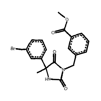 COC(=O)c1cccc(CN2C(=O)NC(C)(c3cccc(Br)c3)C2=O)c1